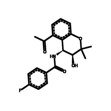 CC(=O)c1cccc2c1[C@@H](NC(=O)c1ccc(F)cc1)[C@H](O)C(C)(C)O2